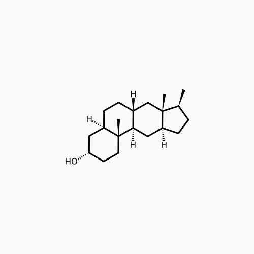 C[C@H]1CC[C@H]2C[C@@H]3[C@H](CC[C@@H]4C[C@@H](O)CC[C@]43C)C[C@@]21C